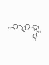 Cn1cc(Nc2nccc(-c3ccn4c(Cc5ccc(Cl)cc5)nnc4c3)n2)cn1